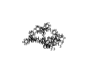 CCC(C)(N/C(=N/C1CCCCC1)NC1CCCCC1)C(C)COC(C)(C)C(C)N1CN(CCCN/C(=N\C2CCCCC2)NC2CCCCC2)CN(CCCN/C(=N\C2CCCCC2)NC2CCCCC2)C1